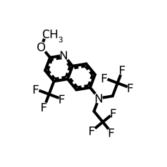 COc1cc(C(F)(F)F)c2cc(N(CC(F)(F)F)CC(F)(F)F)ccc2n1